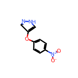 O=[N+]([O-])c1ccc(Oc2cn[nH]c2)cc1